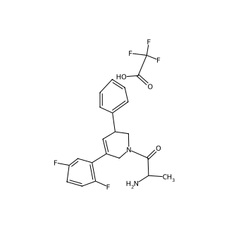 CC(N)C(=O)N1CC(c2cc(F)ccc2F)=CC(c2ccccc2)C1.O=C(O)C(F)(F)F